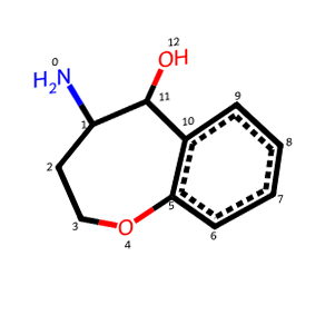 NC1CCOc2ccccc2C1O